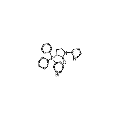 O=C1C([P+](c2ccccc2)(c2ccccc2)c2ccccc2)CCN1c1ccccn1.[Br-]